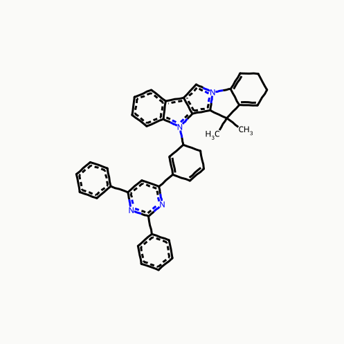 CC1(C)C2=CCCC=C2n2cc3c4ccccc4n(C4C=C(c5cc(-c6ccccc6)nc(-c6ccccc6)n5)C=CC4)c3c21